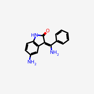 NC(=C1C(=O)Nc2ccc(N)cc21)c1ccccc1